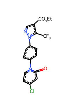 CCOC(=O)c1cnn(-c2ccc(-n3ccc(Cl)cc3=O)cc2)c1C(F)(F)F